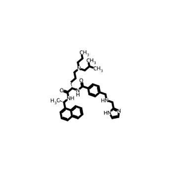 CCCN(CCC[C@H](NC(=O)c1ccc(CNCc2ncc[nH]2)cc1)C(=O)N[C@@H](C)c1cccc2ccccc12)CC(C)C